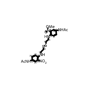 CO[N+](=O)c1cc(NC(C)=O)ccc1NCCSSCCNc1ccc(NC(C)=O)cc1[N+](=O)[O-]